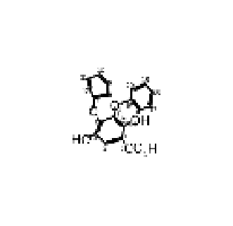 O=C(O)c1cc(O)c(Oc2ccccc2)c(Oc2ccccc2)c1O